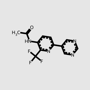 CC(=O)Nc1ccc(-c2cncnc2)nc1C(F)(F)F